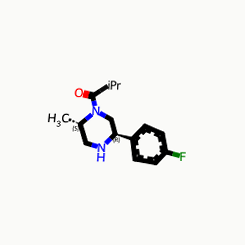 CC(C)C(=O)N1C[C@@H](c2ccc(F)cc2)NC[C@@H]1C